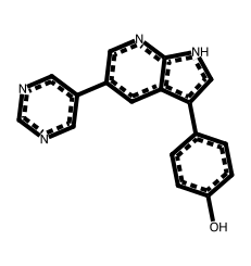 Oc1ccc(-c2c[nH]c3ncc(-c4cncnc4)cc23)cc1